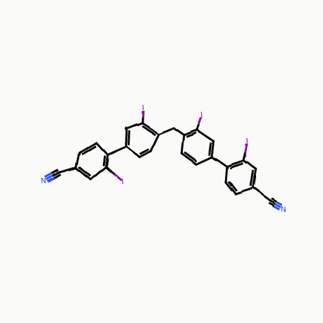 N#Cc1ccc(-c2ccc(Cc3ccc(-c4ccc(C#N)cc4I)cc3I)c(I)c2)c(I)c1